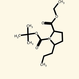 CCCC1CCC(C(=O)OCC)N1C(=O)OC(C)(C)C